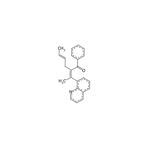 CC=CCC(C(=O)c1ccccc1)=C(C)c1cccc2cccnc12